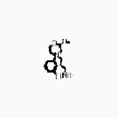 COC1C[N+](CCC[NH])(c2cccc(Cl)c2)CCO1